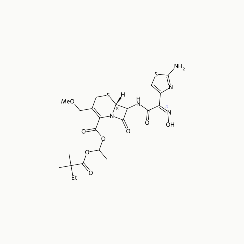 CCC(C)(C)C(=O)OC(C)OC(=O)C1=C(COC)CS[C@@H]2C(NC(=O)/C(=N\O)c3csc(N)n3)C(=O)N12